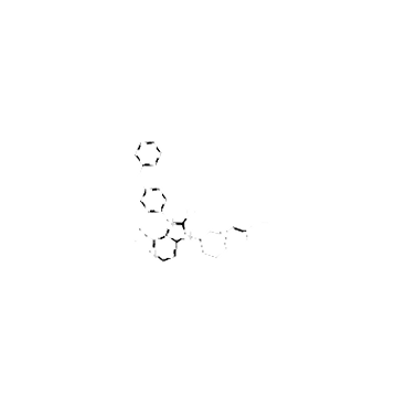 CC(F)=CN1CCCC(n2c(=O)n(-c3ccc(Oc4ccccc4)cc3)c3c(N)nccc32)C1